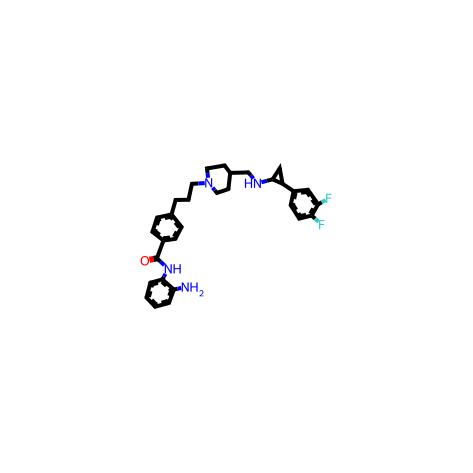 Nc1ccccc1NC(=O)c1ccc(CCCN2CCC(CNC3CC3c3ccc(F)c(F)c3)CC2)cc1